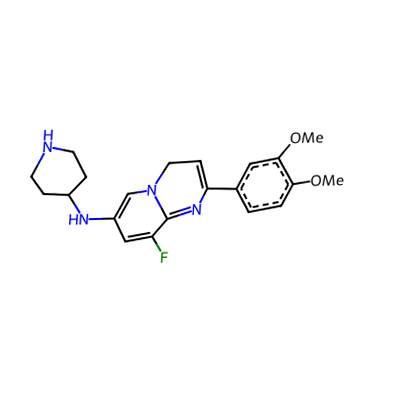 COc1ccc(C2=CCN3C=C(NC4CCNCC4)C=C(F)C3=N2)cc1OC